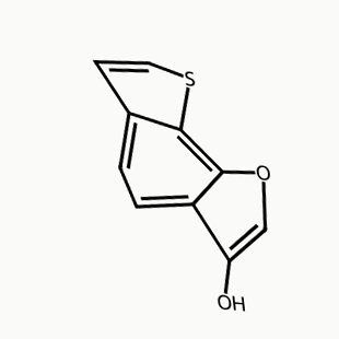 Oc1coc2c1ccc1ccsc12